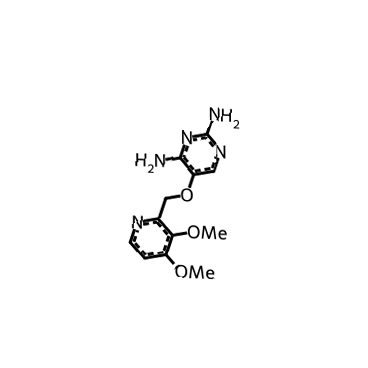 COc1ccnc(COc2cnc(N)nc2N)c1OC